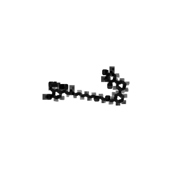 CC(=O)OCc1cc([C@@H](O)CNCCCCCCOCCOCc2cccc(-c3cccc(-c4c[nH]c(=O)[nH]c4=O)c3)c2)ccc1O